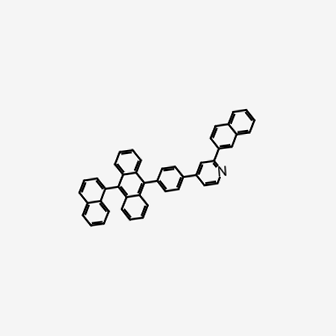 c1ccc2cc(-c3cc(-c4ccc(-c5c6ccccc6c(-c6cccc7ccccc67)c6ccccc56)cc4)ccn3)ccc2c1